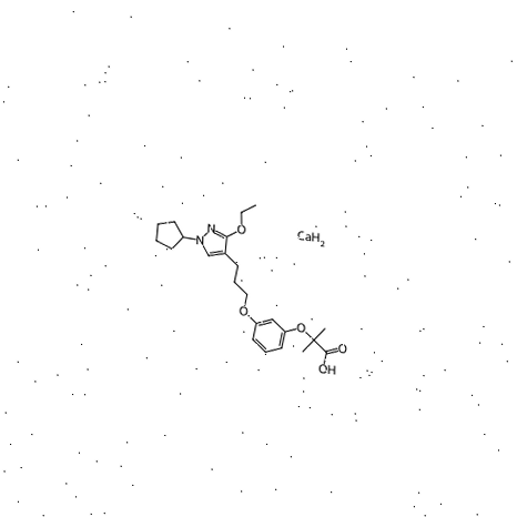 CCOc1nn(C2CCCC2)cc1CCCOc1cccc(OC(C)(C)C(=O)O)c1.[CaH2]